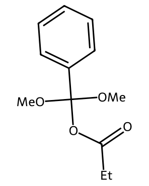 CCC(=O)OC(OC)(OC)c1ccccc1